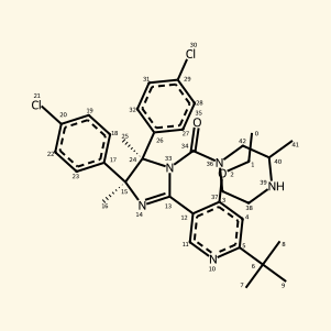 CCOc1cc(C(C)(C)C)ncc1C1=N[C@@](C)(c2ccc(Cl)cc2)[C@@](C)(c2ccc(Cl)cc2)N1C(=O)N1CCNC(C)C1